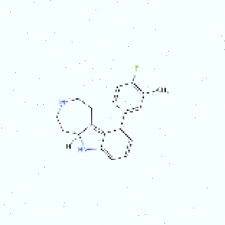 Cc1cc(C2C=CC=C3N[C@H]4CCNCCC4=C32)ccc1F